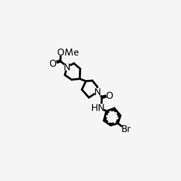 COC(=O)N1CCC(C2CCN(C(=O)Nc3ccc(Br)cc3)CC2)CC1